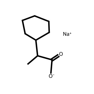 CC(C(=O)[O-])C1CCCCC1.[Na+]